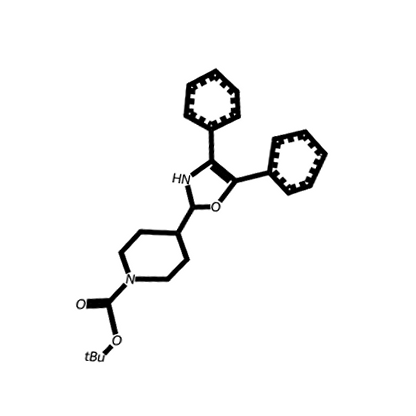 CC(C)(C)OC(=O)N1CCC(C2NC(c3ccccc3)=C(c3ccccc3)O2)CC1